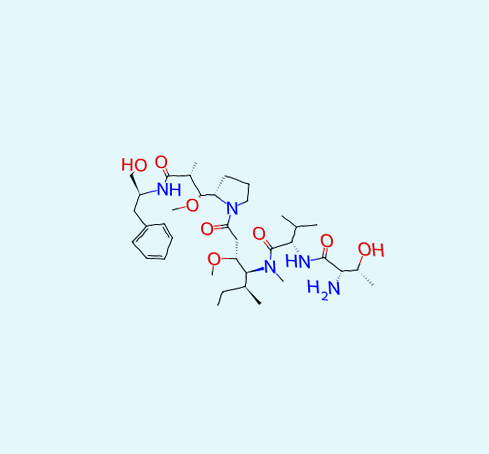 CC[C@H](C)[C@@H]([C@@H](CC(=O)N1CCC[C@H]1[C@H](OC)[C@@H](C)C(=O)N[C@H](CO)Cc1ccccc1)OC)N(C)C(=O)[C@@H](NC(=O)[C@@H](N)[C@@H](C)O)C(C)C